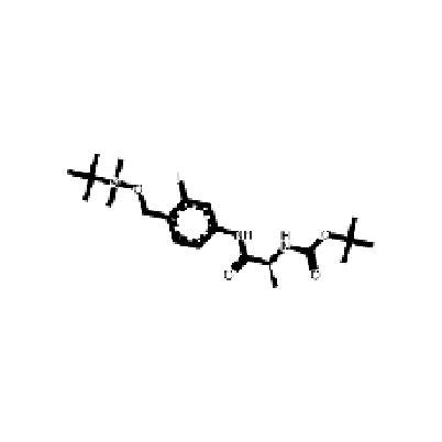 C[C@H](NC(=O)OC(C)(C)C)C(=O)Nc1ccc(CO[Si](C)(C)C(C)(C)C)c(I)c1